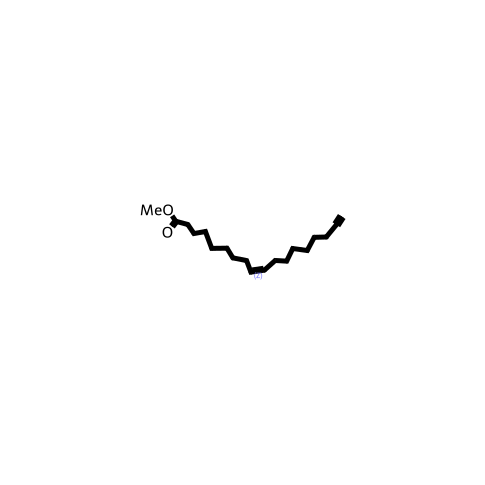 C#CCCCCCC/C=C\CCCCCCCC(=O)OC